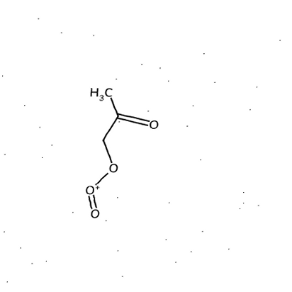 CC(=O)CO[O+]=O